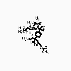 C=CCC(CCCOC(C)=O)(C(=O)O)c1ccc(C2(N(COCC[Si](C)(C)C)[S+]([O-])C(C)(C)C)COC2)cc1